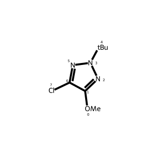 COc1nn(C(C)(C)C)nc1Cl